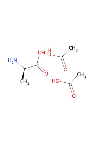 CC(=O)O.CC(=O)O.C[C@@H](N)C(=O)O